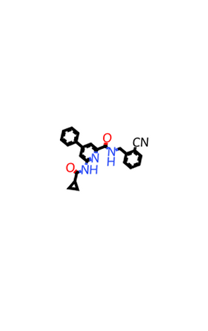 N#Cc1ccccc1CNC(=O)c1cc(-c2ccccc2)cc(NC(=O)C2CC2)n1